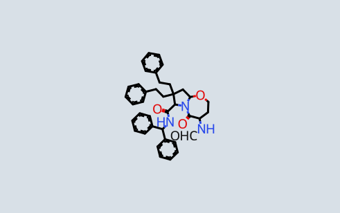 O=CNC1CCOC2CC(CCc3ccccc3)(CCc3ccccc3)C(C(=O)NC(c3ccccc3)c3ccccc3)N2C1=O